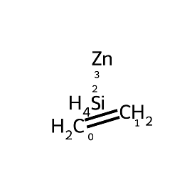 C=C.[SiH4].[Zn]